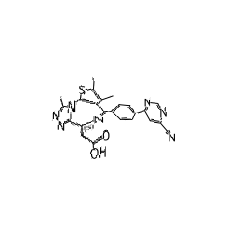 Cc1sc2c(c1C)C(c1ccc(-c3cc(C#N)ncn3)cc1)=N[C@@H](CC(=O)O)c1nnc(C)n1-2